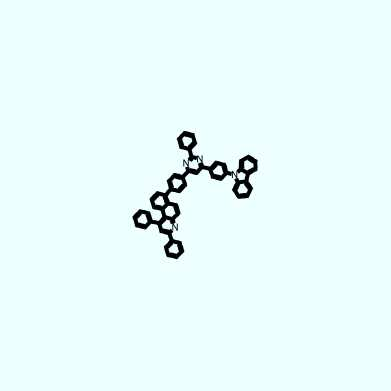 c1ccc(-c2cc(-c3ccccc3)c3c(ccc4c(-c5ccc(-c6cc(-c7ccc(-n8c9ccccc9c9ccccc98)cc7)nc(-c7ccccc7)n6)cc5)cccc43)n2)cc1